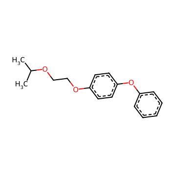 CC(C)OCCOc1ccc(Oc2ccccc2)cc1